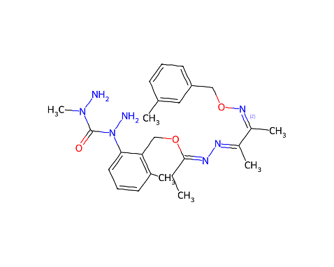 CCC(=NN=C(C)/C(C)=N\OCc1cccc(C)c1)OCc1c(C)cccc1N(N)C(=O)N(C)N